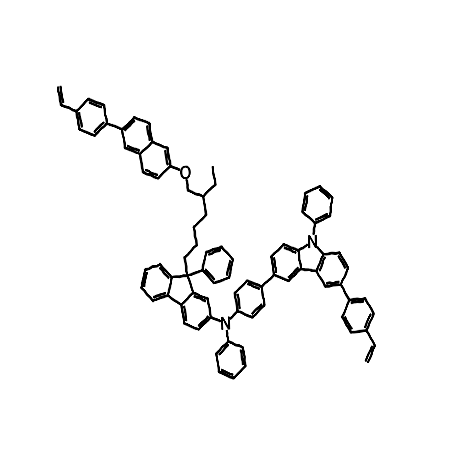 C=Cc1ccc(-c2ccc3cc(OCC(CC)CCCCC4(c5ccccc5)c5ccccc5-c5ccc(N(c6ccccc6)c6ccc(-c7ccc8c(c7)c7cc(-c9ccc(C=C)cc9)ccc7n8-c7ccccc7)cc6)cc54)ccc3c2)cc1